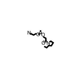 CCC1CCC[15N]1C(=O)CCOP(C)OCCC#N